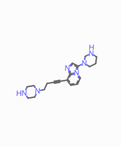 C(#Cc1cccn2c(N3CCCNC3)cnc12)CCN1CCNCC1